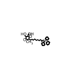 CC1C(=O)C(CO)=C(CO)C(=O)C1CCCCCCCCCC[PH](c1ccccc1)(c1ccccc1)c1ccccc1